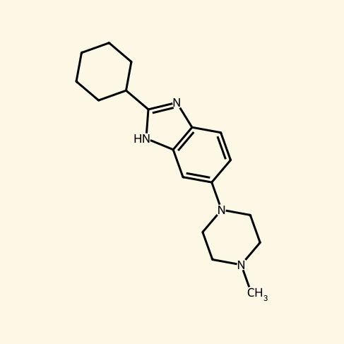 CN1CCN(c2ccc3nc(C4CCCCC4)[nH]c3c2)CC1